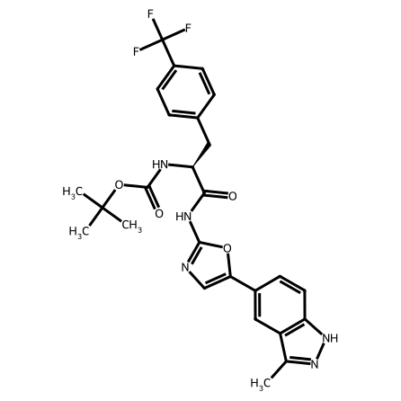 Cc1n[nH]c2ccc(-c3cnc(NC(=O)[C@H](Cc4ccc(C(F)(F)F)cc4)NC(=O)OC(C)(C)C)o3)cc12